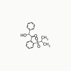 CC(C)S(=O)(=O)c1ccccc1C(=O)C(O)c1ccccc1